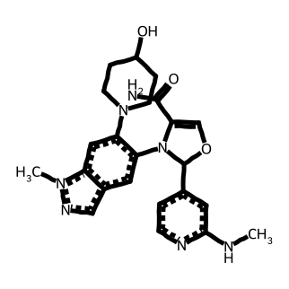 CNc1cc(C2OC=C(C(N)=O)N2c2cc3cnn(C)c3cc2N2CCC(O)CC2)ccn1